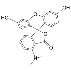 CN(C)c1cccc2c1C(=O)OC21c2ccc(O)cc2Oc2cc(O)ccc21